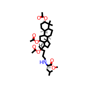 COC(=O)[C@H](CC(C)C)NCCCC(C)(OC(C)=O)C1CC[C@]2(C)[C@@H]1C(OC(C)=O)CC1[C@@]3(C)CC[C@H](OC(C)=O)C(C)(C)C3CC[C@]12C